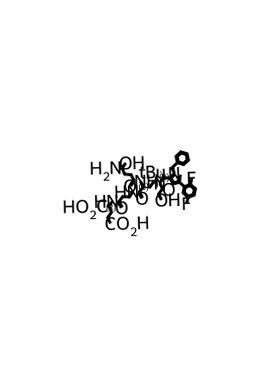 CC(C)(C)[C@H](c1cc(-c2cc(F)ccc2F)cn1Cc1ccccc1)N(CC[C@H](NC(=O)CCC(N)O)C(=O)NCCC(=O)N[C@H](CCC(=O)O)C(=O)O)C(=O)CO